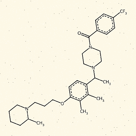 Cc1c(OCCCN2CCCCC2C)ccc(C(C)N2CCN(C(=O)c3ccc(C(F)(F)F)cc3)CC2)c1C